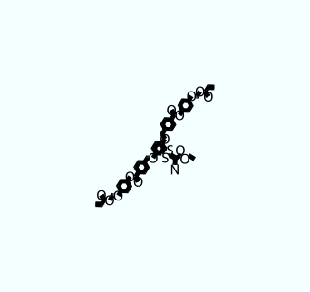 C=CC(=O)OCOC1CCC(OC(=O)C2CCC(COc3ccc(OCC4CCC(C(=O)OC5CCC(OCOC(=O)C=C)CC5)CC4)c4c3SC(=C(C#N)C(=O)OCC)S4)CC2)CC1